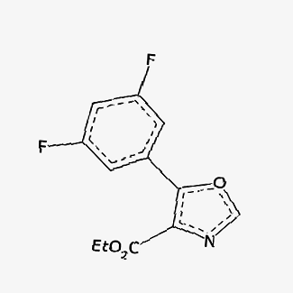 CCOC(=O)c1ncoc1-c1cc(F)cc(F)c1